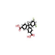 CC(c1ccc(C(=O)O)cc1)(c1ccc(C(=O)O)cc1)c1cc(F)cc(F)c1